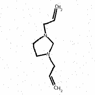 C=CCN1[CH]CN(CC=C)C1